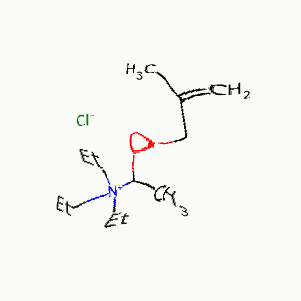 C=C(C)COC(C)[N+](CC)(CC)CC.[Cl-]